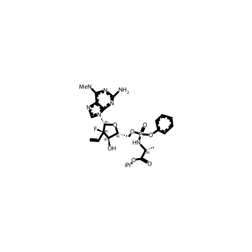 C=C[C@@]1(F)[C@H](O)[C@@H](COP(=O)(N[C@H](C)C(=O)OC(C)C)Oc2ccccc2)O[C@H]1n1cnc2c(NC)nc(N)nc21